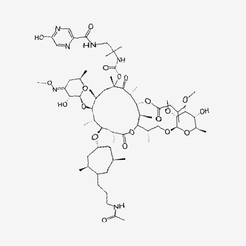 CON=C1C[C@@H](C)O[C@@H](O[C@@H]2[C@@H](C)[C@H](O[C@@H]3C[C@@H](C)CC(CCCNC(C)=O)[C@@H](C)C3)[C@@H](C)C(=O)OC([C@@H](C)CO[C@@H]3O[C@H](C)[C@@H](O)[C@@H](OC)[C@H]3OC)[C@H](C)[C@@H](OC(=O)CC(C)C)[C@@H](C)C(=O)[C@@](C)(OC(=O)NC(C)(C)CNC(=O)c3cnc(O)cn3)C[C@@H]2C)[C@@H]1O